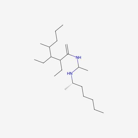 C=C(NC(C)N[C@@H](C)CCCCC)C(CC)C(CC)C(C)CCC